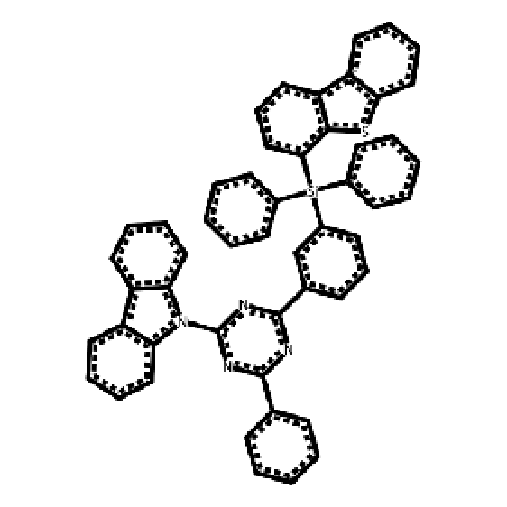 c1ccc(-c2nc(-c3cccc([Si](c4ccccc4)(c4ccccc4)c4cccc5c4sc4ccccc45)c3)nc(-n3c4ccccc4c4ccccc43)n2)cc1